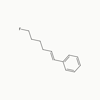 FCCCC/C=C/c1ccccc1